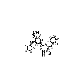 COc1ccc(C2CNC(=O)C(=Cc3ccccc3)C2)cc1OC1CCCC1